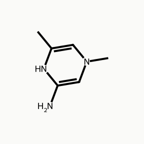 CC1=CN(C)C=C(N)N1